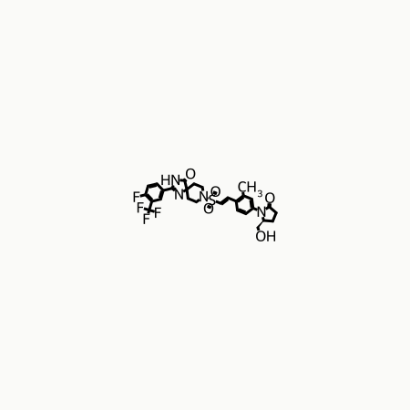 Cc1cc(N2C(=O)CC[C@H]2CO)ccc1C=CS(=O)(=O)N1CCC2(CC1)N=C(c1ccc(F)c(C(F)(F)F)c1)NC2=O